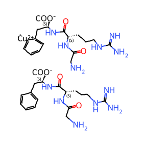 N=C(N)NCCC[C@H](NC(=O)CN)C(=O)N[C@@H](Cc1ccccc1)C(=O)[O-].N=C(N)NCCC[C@H](NC(=O)CN)C(=O)N[C@@H](Cc1ccccc1)C(=O)[O-].[Cu+2]